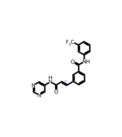 O=C(/C=C/c1cccc(C(=O)Nc2cccc(C(F)(F)F)c2)c1)Nc1cncnc1